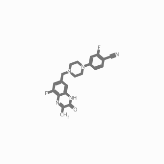 Cc1nc2c(F)cc(CN3CCN(c4ccc(C#N)c(F)c4)CC3)cc2[nH]c1=O